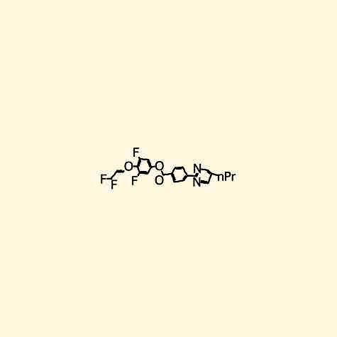 CCCc1cnc(-c2ccc(C(=O)Oc3cc(F)c(O/C=C/C(F)F)c(F)c3)cc2)nc1